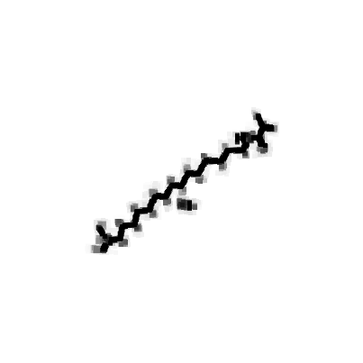 C=C(C)C(=O)NCCCCCCCCCCCCCCCN(C)C.Cl